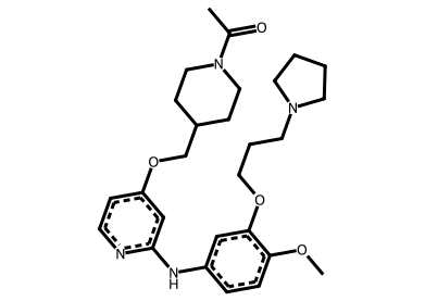 COc1ccc(Nc2cc(OCC3CCN(C(C)=O)CC3)ccn2)cc1OCCCN1CCCC1